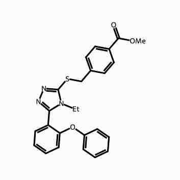 CCn1c(SCc2ccc(C(=O)OC)cc2)nnc1-c1ccccc1Oc1ccccc1